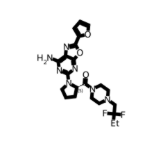 CCC(F)(F)CN1CCN(C(=O)[C@@H]2CCCN2c2nc(N)c3nc(-c4ccco4)oc3n2)CC1